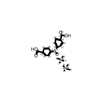 C[N+](C)(C)C.C[N+](C)(C)C.O=C(O)c1ccc([S+]([O-])c2ccc(C(=O)O)cc2)cc1